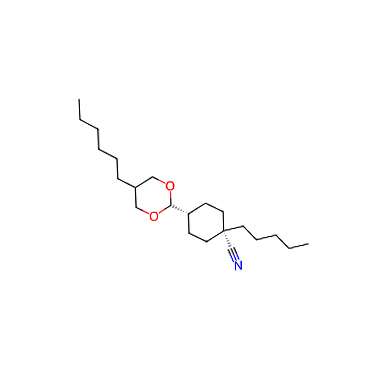 CCCCCCC1COC([C@H]2CC[C@](C#N)(CCCCC)CC2)OC1